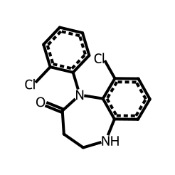 O=C1CCNc2cccc(Cl)c2N1c1ccccc1Cl